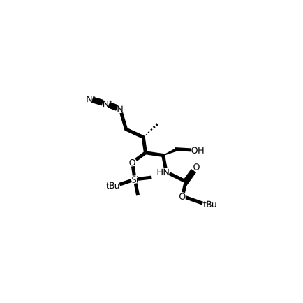 C[C@@H](CN=[N+]=[N-])C(O[Si](C)(C)C(C)(C)C)[C@@H](CO)NC(=O)OC(C)(C)C